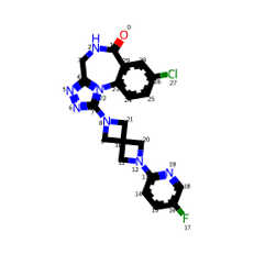 O=C1NCc2nnc(N3CC4(CN(c5ccc(F)cn5)C4)C3)n2-c2ccc(Cl)cc21